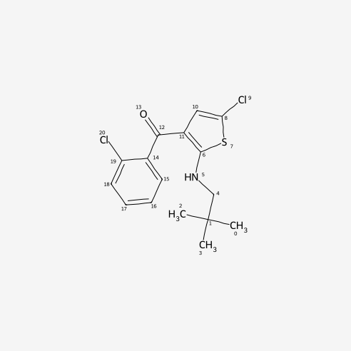 CC(C)(C)CNc1sc(Cl)cc1C(=O)c1ccccc1Cl